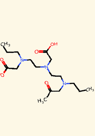 CCCN(CCN(CCN(CCC)CC(=O)O)CC(=O)O)CC(C)=O